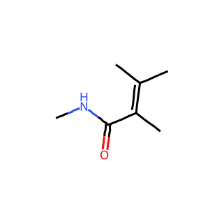 CNC(=O)C(C)=C(C)C